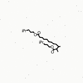 CC(C)CCCOC(=O)CCCCCCCCC(C)C(C)C(=O)OCCCC(C)C